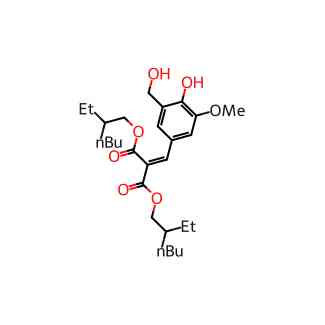 CCCCC(CC)COC(=O)C(=Cc1cc(CO)c(O)c(OC)c1)C(=O)OCC(CC)CCCC